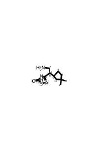 CC1(C)CCC([C@H](CN)c2nsc(=O)[nH]2)C1